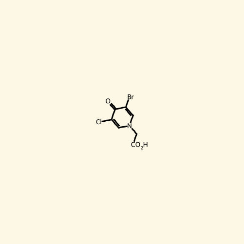 O=C(O)Cn1cc(Cl)c(=O)c(Br)c1